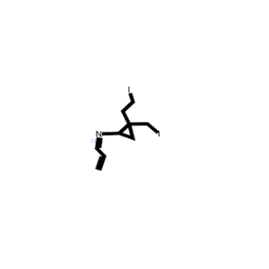 C=C/C=N\C1CC1(CI)CCI